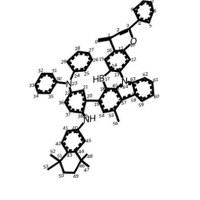 C=C1C=C(c2ccccc2)Oc2cc3c(cc21)Bc1c(-c2cc(N(c4ccccc4)c4ccccc4)ccc2Nc2ccc4c(c2)C(C)(C)CCC4(C)C)cc(C)c2c4ccccc4n-3c12